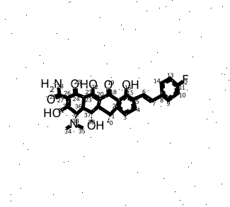 C[C@H]1c2ccc(/C=C/c3ccc(F)cc3)c(O)c2C(=O)C2=C(O)C3C(=O)C(C(N)=O)=C(O)[C@@H](N(C)C)C3[C@@H](O)C21